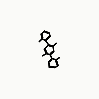 Cc1ccccc1-c1cc(C)c(-c2ccccc2C)cc1C